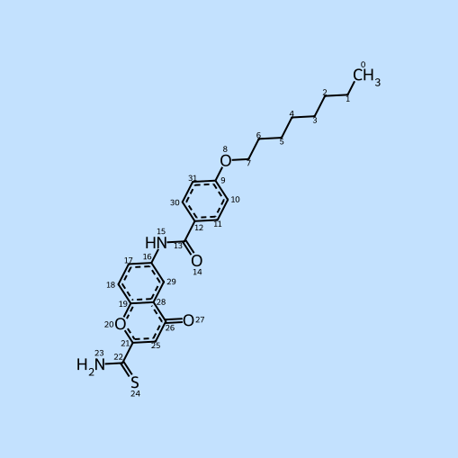 CCCCCCCCOc1ccc(C(=O)Nc2ccc3oc(C(N)=S)cc(=O)c3c2)cc1